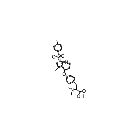 Cc1ccc(S(=O)(=O)n2cc(C)c3c(Oc4ccc(CC(C(=O)O)N(C)C)cc4)ccnc32)cc1